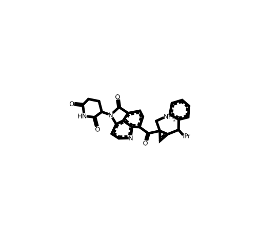 CC(C)C(C1=CC1(CN)C(=O)c1ccc2c3c(ccnc13)N(C1CCC(=O)NC1=O)C2=O)c1ccccc1